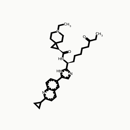 CCC(=O)CCCCC[C@H](NC(=O)[C@H]1CC12CCN(CC)CC2)c1ncc(-c2ccc3nc(C4CC4)ccc3c2)[nH]1